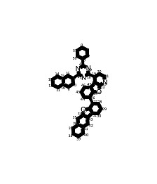 c1ccc(-c2nc(-c3ccc4ccccc4c3)nc(-c3ccnc4oc5c(-c6cccc7c6oc6cc8ccccc8cc67)cccc5c34)n2)cc1